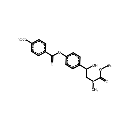 CCCCCCCCc1ccc(C(=O)Oc2ccc(C(O)CN(C)C(=O)OC(C)(C)C)cc2)cc1